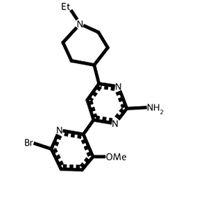 CCN1CCC(c2cc(-c3nc(Br)ccc3OC)nc(N)n2)CC1